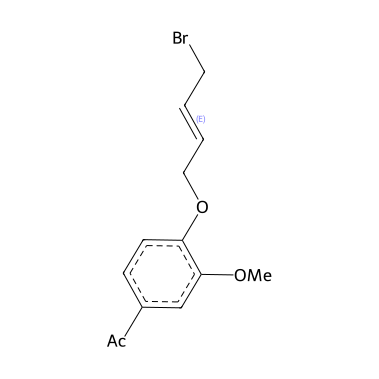 COc1cc(C(C)=O)ccc1OC/C=C/CBr